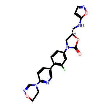 O=C1O[C@@H](CNc2ccno2)CN1c1ccc(-c2ccc(N3C=NOCC3)nc2)c(F)c1